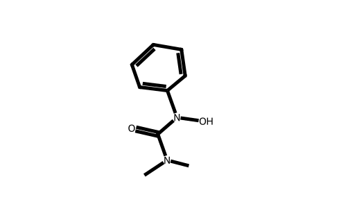 CN(C)C(=O)N(O)c1ccccc1